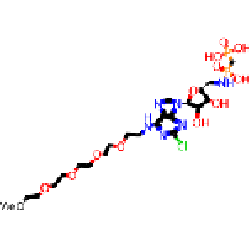 COCCOCCOCCOCCOCCNc1nc(Cl)nc2c1ncn2[C@@H]1O[C@H](CNP(=O)(O)CP(=O)(O)O)C(O)C1O